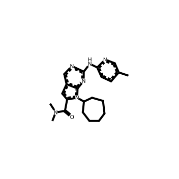 Cc1ccc(Nc2ncc3cc(C(=O)N(C)C)n(C4CCCCCC4)c3n2)nc1